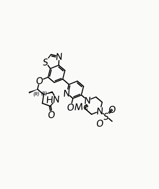 COc1nc(-c2cc(O[C@H](C)[C@H]3CNC(=O)C3)c3scnc3c2)ccc1N1CCN(S(C)(=O)=O)CC1